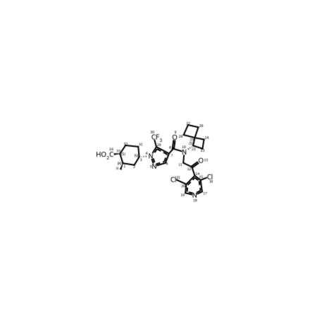 C[C@@H]1C[C@@H](n2ncc(C(=O)N(CC(=O)c3c(Cl)cncc3Cl)[C@H]3CCC34CCC4)c2C(F)(F)F)CC[C@@H]1C(=O)O